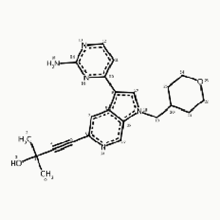 CC(C)(O)C#Cc1cc2c(-c3ccnc(N)n3)cn(CC3CCOCC3)c2cn1